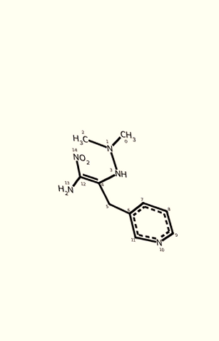 CN(C)NC(Cc1cccnc1)=C(N)[N+](=O)[O-]